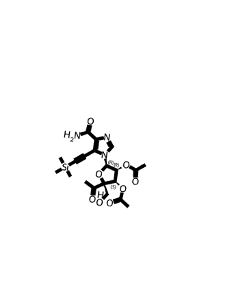 CC(=O)O[C@H]1[C@H](n2cnc(C(N)=O)c2C#C[Si](C)(C)C)O[C@@](CO)(C(C)=O)[C@H]1OC(C)=O